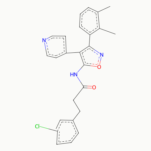 Cc1cccc(-c2noc(NC(=O)CCc3cccc(Cl)c3)c2-c2ccncc2)c1C